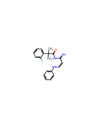 CC(C)(C(=O)NC(=N)/C=C\Nc1ccccc1)c1ccccc1F